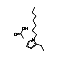 CC(=O)O.CCCCCCCn1cccc1CC